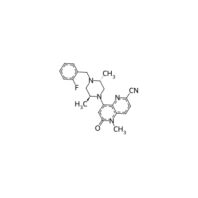 C[C@@H]1CN(c2cc(=O)n(C)c3ccc(C#N)nc23)[C@@H](C)CN1Cc1ccccc1F